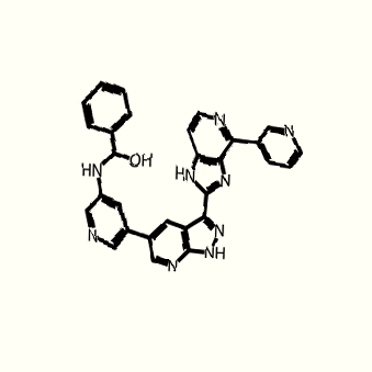 OC(Nc1cncc(-c2cnc3[nH]nc(-c4nc5c(-c6cccnc6)nccc5[nH]4)c3c2)c1)c1ccccc1